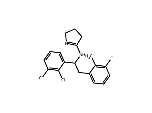 Cc1c(F)cccc1CC(NC1=NCCC1)c1cccc(Cl)c1Cl